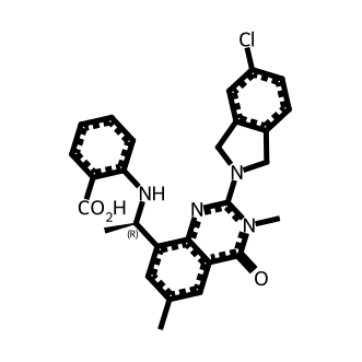 Cc1cc([C@@H](C)Nc2ccccc2C(=O)O)c2nc(N3Cc4ccc(Cl)cc4C3)n(C)c(=O)c2c1